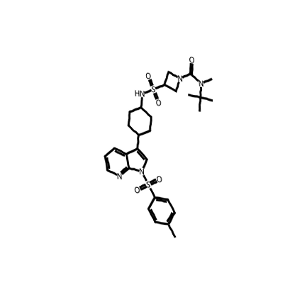 Cc1ccc(S(=O)(=O)n2cc(C3CCC(NS(=O)(=O)C4CN(C(=O)N(C)C(C)(C)C)C4)CC3)c3cccnc32)cc1